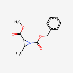 COC(=O)C1C(C)N1C(=O)OCc1ccccc1